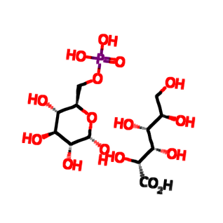 O=C(O)[C@H](O)[C@@H](O)[C@H](O)[C@H](O)CO.O=P(O)(O)OC[C@H]1O[C@H](O)[C@H](O)[C@@H](O)[C@@H]1O